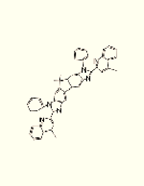 Cc1cc(-c2nc3c(n2-c2ccccc2)=CC2C(C=3)c3cc4nc(C5=CC(C)C6C=CC=CC6=N5)n(-c5ccccc5)c4cc3C2(C)C)nc2ccccc12